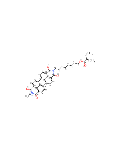 CCC(C)C(=O)OCCCCCCCCN1C(=O)c2ccc3c4ccc5c6c(ccc(c7ccc(c2c37)C1=O)c64)C(=O)N(C)C5=O